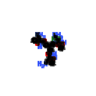 Cl.NCCCC[C@@H](NS(=O)(=O)c1ccccc1)C(=O)Nc1ccc(C(c2ccc(NC(=O)[C@@H](CCCCN)NS(=O)(=O)c3ccccc3)cc2)c2ccc(NC(=O)[C@@H](CCCCN)NS(=O)(=O)c3ccccc3)cc2)cc1